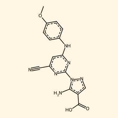 COc1ccc(Nc2cc(C#N)nc(-n3ncc(C(=O)O)c3N)n2)cc1